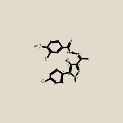 C/C(=N/NC(=O)c1ccc(C(=O)O)c(Br)c1)c1nn(C)c(-c2ccc(C(C)(C)C)cc2)c1O